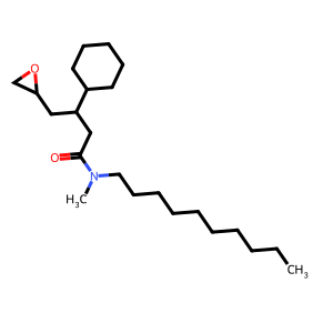 CCCCCCCCCCN(C)C(=O)CC(CC1CO1)C1CCCCC1